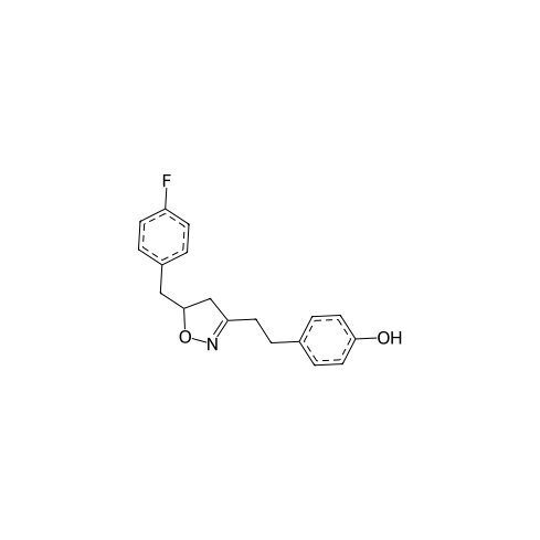 Oc1ccc(CCC2=NOC(Cc3ccc(F)cc3)C2)cc1